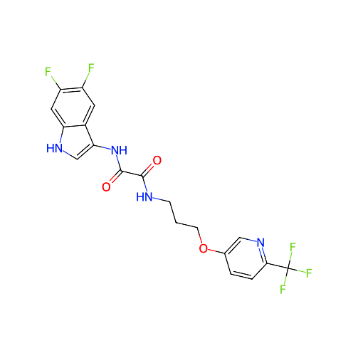 O=C(NCCCOc1ccc(C(F)(F)F)nc1)C(=O)Nc1c[nH]c2cc(F)c(F)cc12